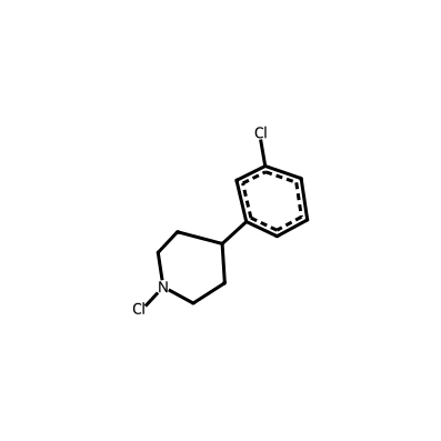 Clc1cccc(C2CCN(Cl)CC2)c1